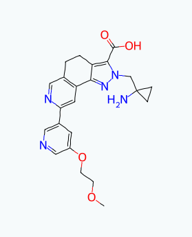 COCCOc1cncc(-c2cc3c(cn2)CCc2c-3nn(CC3(N)CC3)c2C(=O)O)c1